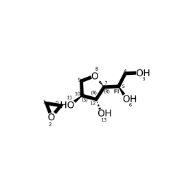 C1CO1.OC[C@@H](O)[C@H]1OC[C@H](O)[C@H]1O